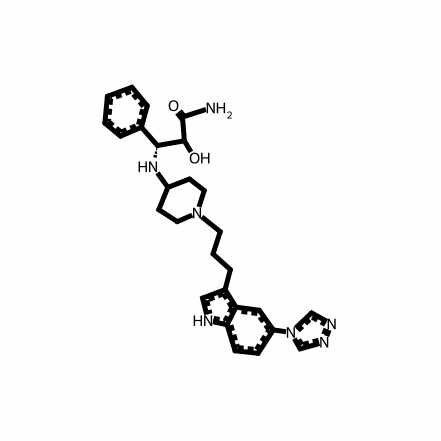 NC(=O)C(O)[C@H](NC1CCN(CCCc2c[nH]c3ccc(-n4cnnc4)cc23)CC1)c1ccccc1